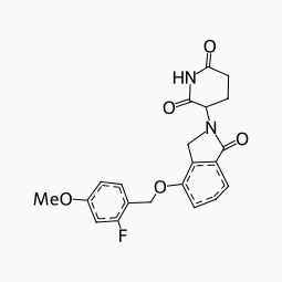 COc1ccc(COc2cccc3c2CN(C2CCC(=O)NC2=O)C3=O)c(F)c1